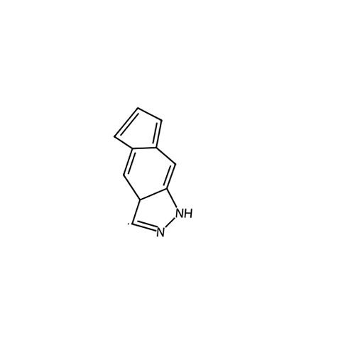 [C]1=NNC2=CC3=CC=CC3=CC12